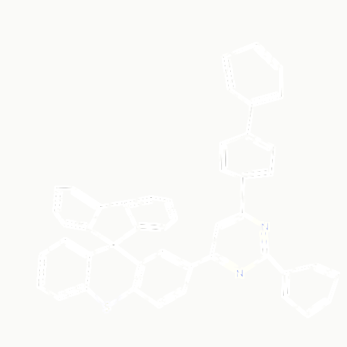 c1ccc(-c2ccc(-c3cc(-c4ccc5c(c4)C4(c6ccccc6S5)c5ccccc5-c5ccccc54)nc(-c4ccccc4)n3)cc2)cc1